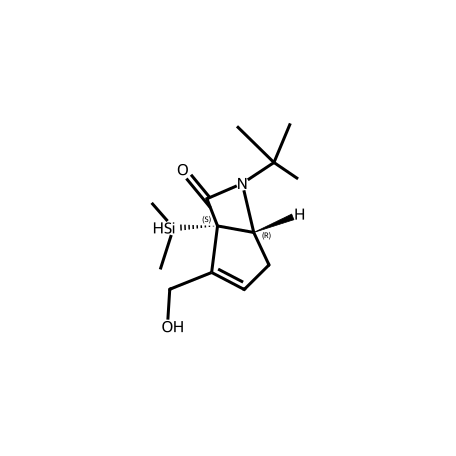 C[SiH](C)[C@]12C(=O)N(C(C)(C)C)[C@@H]1CC=C2CO